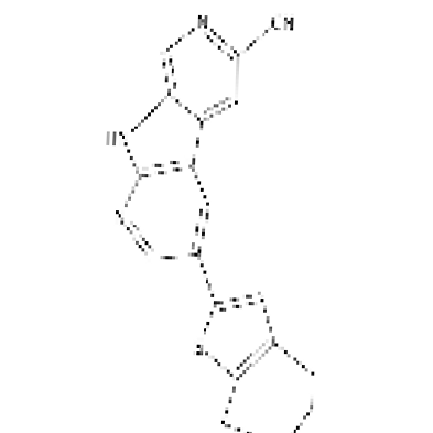 N#Cc1cc2c(cn1)[nH]c1ncc(-c3cc4c(s3)CCCC4)cc12